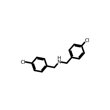 Clc1ccc(CNCc2ccc(Cl)cc2)cc1